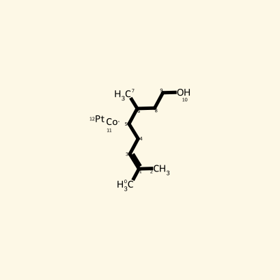 CC(C)=CCCC(C)CCO.[Co].[Pt]